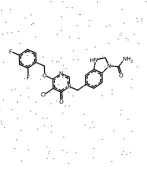 NC(=O)N1CNc2cc(Cn3cnc(OCc4ccc(F)cc4F)c(Cl)c3=O)ccc21